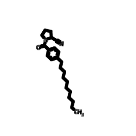 CCCCCCCCCCCc1ccc(C(=O)N2CCCC2C#N)cc1